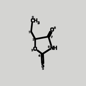 CCC1OC(=S)NC1=O